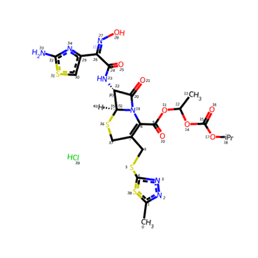 Cc1nnc(SCC2=C(C(=O)OC(C)OC(=O)OC(C)C)N3C(=O)[C@@H](NC(=O)/C(=N\O)c4csc(N)n4)[C@@H]3SC2)s1.Cl